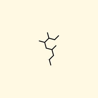 C[CH]CC(C)CC(C)C(C)CC